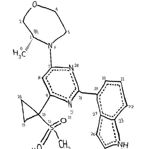 C[C@@H]1COCCN1c1cc(C2(S(C)(=O)=O)CC2)nc(-c2cccc3[nH]ccc23)n1